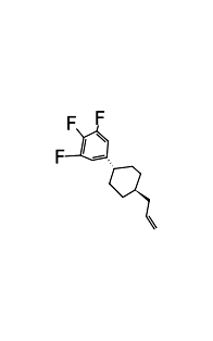 C=CC[C@H]1CC[C@H](c2cc(F)c(F)c(F)c2)CC1